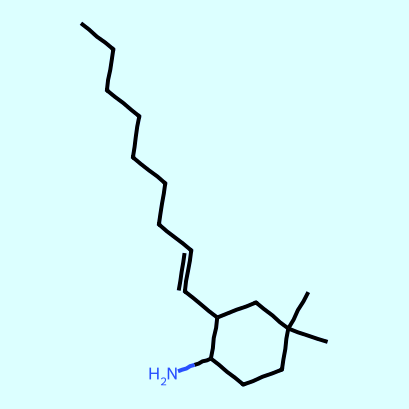 CCCCCCC/C=C/C1CC(C)(C)CCC1N